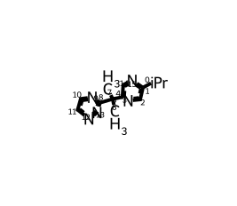 CC(C)c1cnc(C(C)(C)c2nccnn2)cn1